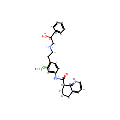 Cl.Cl.O=C(Nc1ccc(CCNCC(O)c2ccccc2)cc1)C1CCCc2cccnc21